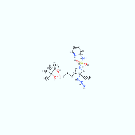 CC1(C)OB(CCC[C@H]2CN(S(=O)(=O)Nc3ccccn3)C[C@@]2(N=[N+]=[N-])C(=O)O)OC1(C)C